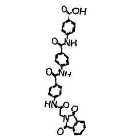 O=C(CN1C(=O)c2ccccc2C1=O)Nc1ccc(C(=O)Nc2ccc(C(=O)Nc3ccc(C(=O)O)cc3)cc2)cc1